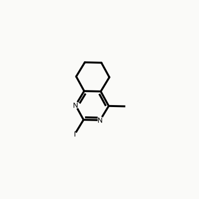 Cc1nc(I)nc2c1CCCC2